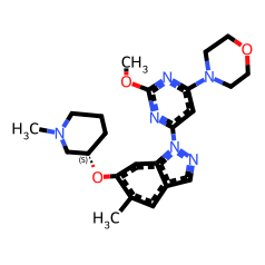 COc1nc(N2CCOCC2)cc(-n2ncc3cc(C)c(O[C@H]4CCCN(C)C4)cc32)n1